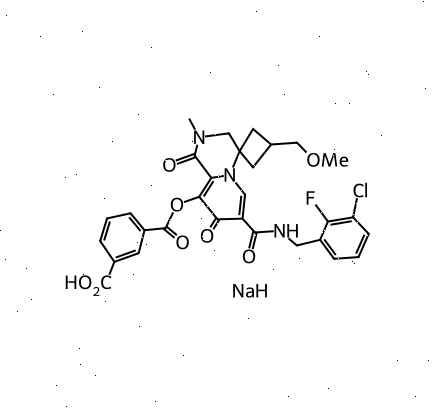 COCC1CC2(C1)CN(C)C(=O)c1c(OC(=O)c3cccc(C(=O)O)c3)c(=O)c(C(=O)NCc3cccc(Cl)c3F)cn12.[NaH]